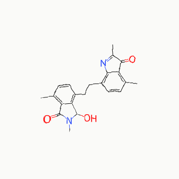 CC1=Nc2c(CCc3ccc(C)c4c3C(O)N(C)C4=O)ccc(C)c2C1=O